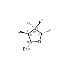 CC[C@H]1O[C@@H](C)[C@](C)(F)[C@@H]1C